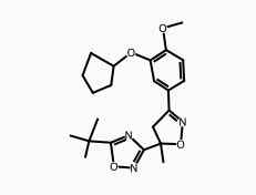 COc1ccc(C2=NOC(C)(c3noc(C(C)(C)C)n3)C2)cc1OC1CCCC1